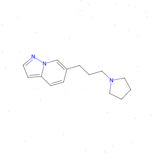 c1cc2ccc(CCCN3CCCC3)cn2n1